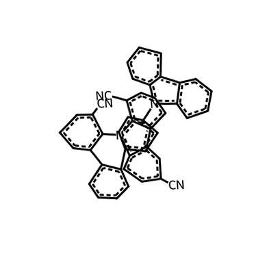 N#Cc1ccc2c(c1)c1cccc(C#N)c1n2-c1c(C#N)cccc1-c1ccccc1-c1ccc(-n2c3ccccc3c3ccccc32)cc1